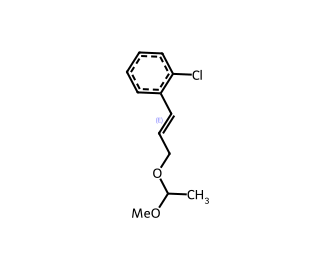 COC(C)OC/C=C/c1ccccc1Cl